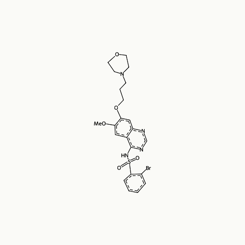 COc1cc2c(NS(=O)(=O)c3ccccc3Br)ncnc2cc1OCCCN1CCOCC1